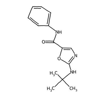 CC(C)(C)Nc1ncc(C(=O)Nc2ccccc2)o1